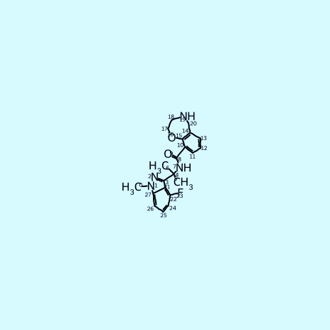 Cn1nc(C(C)(C)NC(=O)c2cccc3c2OCCNC3)c2c(F)cccc21